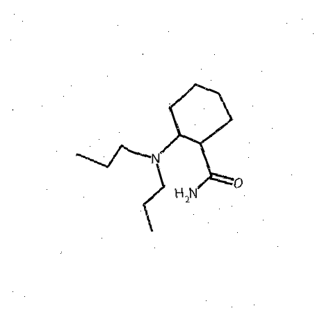 CCCN(CCC)C1CCCCC1C(N)=O